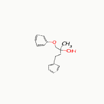 CC(O)(CCc1ccccc1)COc1ccccc1